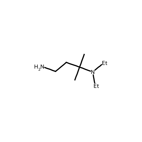 CCN(CC)C(C)(C)CCN